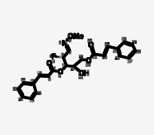 CON=C[C@@H](F)[C@H](OC(=O)/C=C/c1ccccc1)[C@H](O)COC(=O)/C=C/c1ccccc1